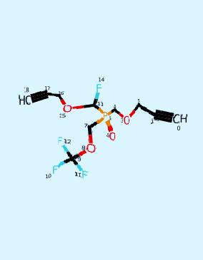 C#CCOCP(=O)(COC(F)(F)F)C(F)OCC#C